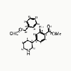 COC(=O)c1ccc(C2CCCNC2)cc1F.O=COCc1ccccc1